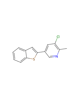 Cc1ncc(-c2cc3ccccc3s2)cc1Cl